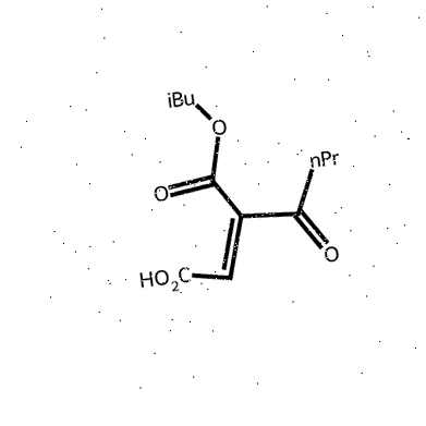 CCCC(=O)C(=CC(=O)O)C(=O)OC(C)CC